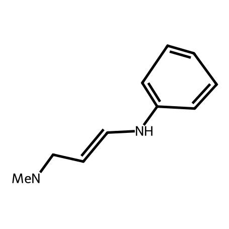 CNC/C=C/Nc1ccccc1